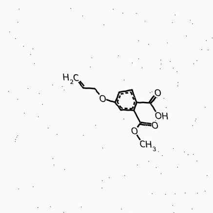 C=CCOc1ccc(C(=O)O)c(C(=O)OC)c1